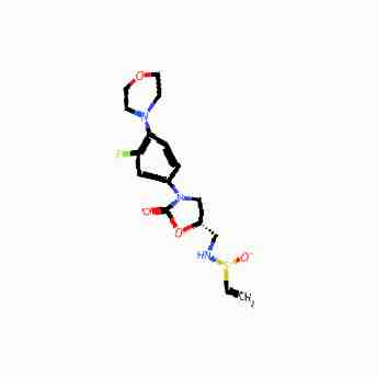 C=C[S+]([O-])NC[C@H]1CN(c2ccc(N3CCOCC3)c(F)c2)C(=O)O1